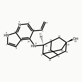 C=Cc1cnc2[nH]ccc2c1N[C@H]1C2CC3CC1C[C@@](O)(C3)C2